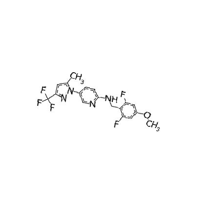 COc1cc(F)c(CNc2ccc(-n3nc(C(F)(F)F)cc3C)cn2)c(F)c1